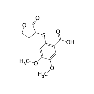 COc1cc(SC2CCOC2=O)c(C(=O)O)cc1OC